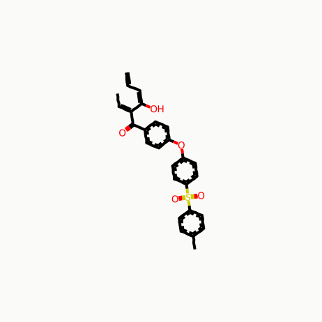 C=C/C=C(O)\C(=C/C)C(=O)c1ccc(Oc2ccc(S(=O)(=O)c3ccc(C)cc3)cc2)cc1